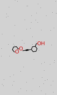 OCC1CCCC(C#CCOC2CCCCO2)C1